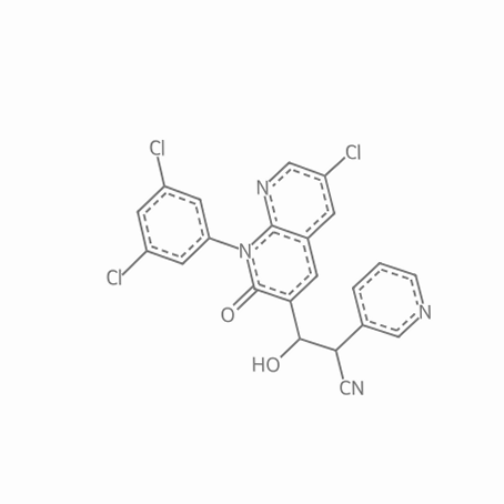 N#CC(c1cccnc1)C(O)c1cc2cc(Cl)cnc2n(-c2cc(Cl)cc(Cl)c2)c1=O